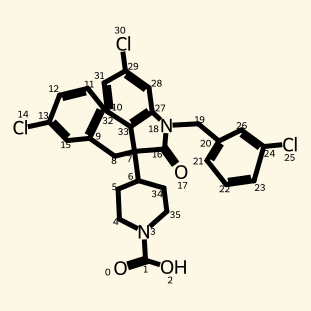 O=C(O)N1CCC(C2(Cc3cccc(Cl)c3)C(=O)N(Cc3cccc(Cl)c3)c3cc(Cl)ccc32)CC1